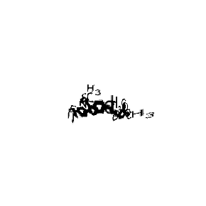 COc1ccc(OCCOc2ccc3c(c2)CC(c2ccc(C(F)(F)F)cc2)=C3c2ncsc2C)cc1OC